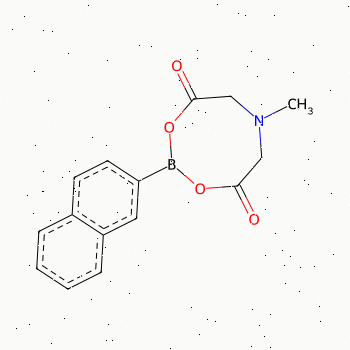 CN1CC(=O)OB(c2ccc3ccccc3c2)OC(=O)C1